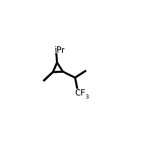 CC(C)C1C(C)C1C(C)C(F)(F)F